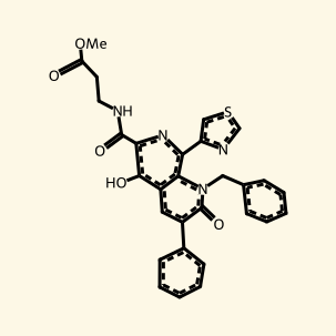 COC(=O)CCNC(=O)c1nc(-c2cscn2)c2c(cc(-c3ccccc3)c(=O)n2Cc2ccccc2)c1O